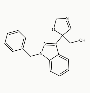 OCC1(c2nn(Cc3ccccc3)c3ccccc23)C=NCO1